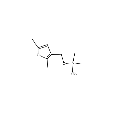 CCCC[Si](C)(C)OCc1cc(C)oc1C